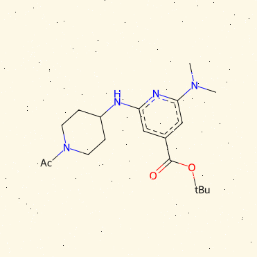 CC(=O)N1CCC(Nc2cc(C(=O)OC(C)(C)C)cc(N(C)C)n2)CC1